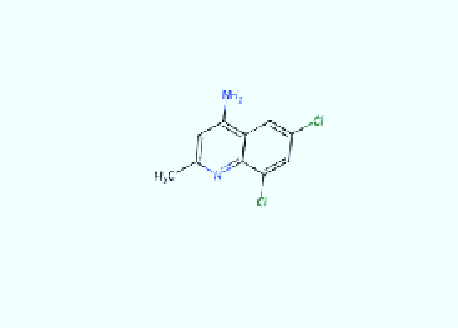 Cc1cc(N)c2cc(Cl)cc(Cl)c2n1